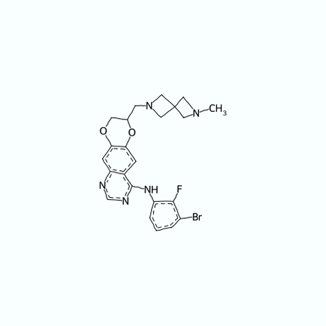 CN1CC2(C1)CN(CC1COc3cc4ncnc(Nc5cccc(Br)c5F)c4cc3O1)C2